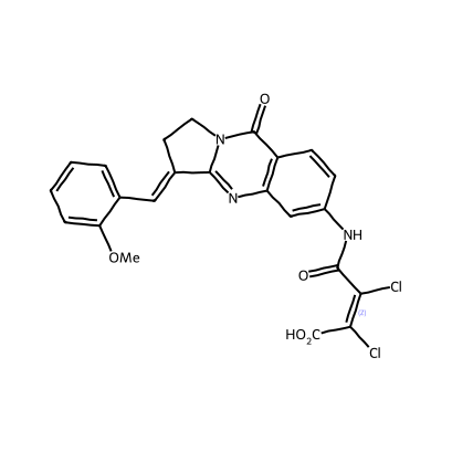 COc1ccccc1C=C1CCn2c1nc1cc(NC(=O)/C(Cl)=C(/Cl)C(=O)O)ccc1c2=O